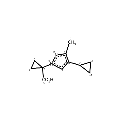 Cc1nn(C2(C(=O)O)CC2)cc1C1CC1